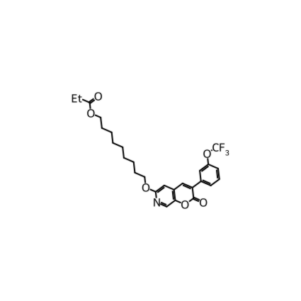 CCC(=O)OCCCCCCCCCOc1cc2cc(-c3cccc(OC(F)(F)F)c3)c(=O)oc2cn1